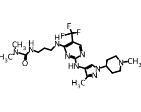 Cc1nn(C2CCN(C)CC2)cc1Nc1ncc(C(F)(F)F)c(NCCCNC(=O)N(C)C)n1